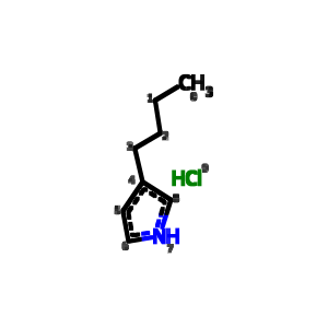 CCCCc1cc[nH]c1.Cl